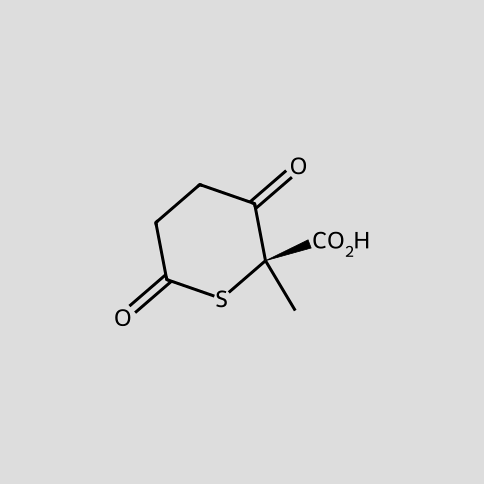 C[C@]1(C(=O)O)SC(=O)CCC1=O